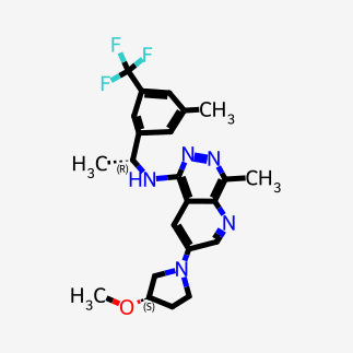 CO[C@H]1CCN(c2cnc3c(C)nnc(N[C@H](C)c4cc(C)cc(C(F)(F)F)c4)c3c2)C1